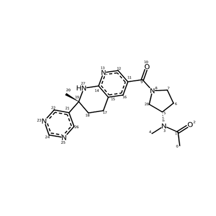 CC(=O)N(C)[C@H]1CCN(C(=O)c2cnc3c(c2)CC[C@](C)(c2cncnc2)N3)C1